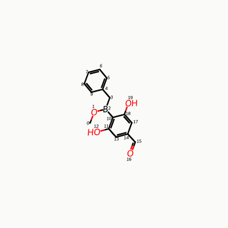 COB(Cc1ccccc1)c1c(O)cc(C=O)cc1O